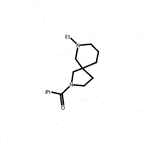 CCN1CCCC2(CCN(C(=O)C(C)C)C2)C1